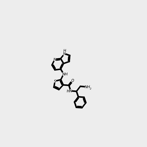 NCC(NC(=O)c1ccsc1Nc1ccnc2[nH]ccc12)c1ccccc1